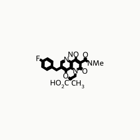 CNC(=O)c1c(N=O)c2ncc(Cc3ccc(F)cc3)c3c2n(c1=O)C[C@@](C)(C(=O)O)O3